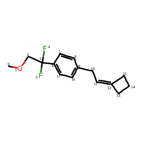 COCC(F)(F)c1ccc(CC=C2CCC2)cc1